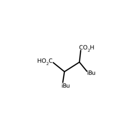 CCC(C)C(C(=O)O)C(C(=O)O)C(C)CC